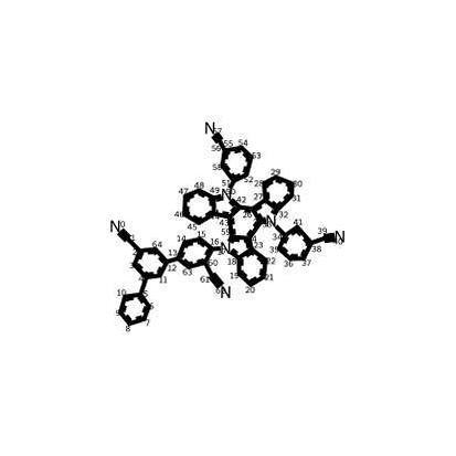 N#Cc1cc(-c2ccccc2)cc(-c2ccc(-n3c4ccccc4c4c5c(c6ccccc6n5-c5cccc(C#N)c5)c5c(c6ccccc6n5-c5cccc(C#N)c5)c43)c(C#N)c2)c1